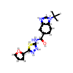 CC(C)(C)n1cnc2cc(C(=O)Nc3nnc(-c4ccco4)s3)ccc21